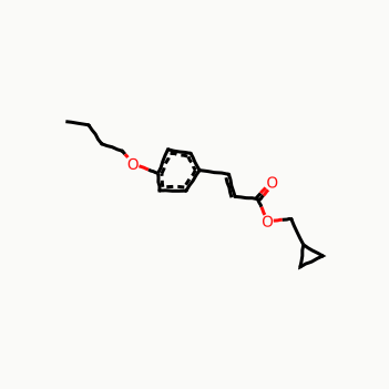 CCCCOc1ccc(C=CC(=O)OCC2CC2)cc1